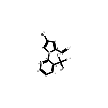 O=Cc1cc(Br)cn1-c1ncccc1C(F)(F)F